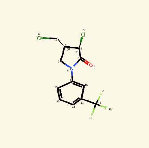 O=C1[C@H](Cl)[C@@H](CCl)CN1c1cccc(C(F)(F)F)c1